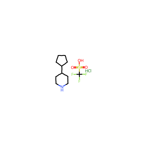 C1CCC(C2CCNCC2)C1.Cl.O=S(=O)(O)C(F)(F)F